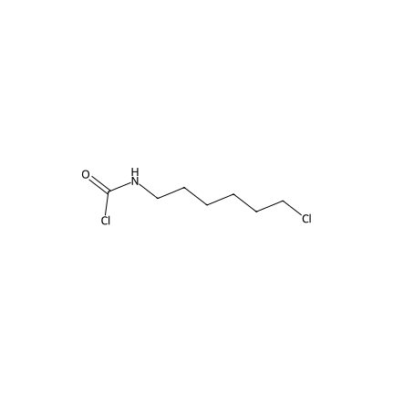 O=C(Cl)NCCCCCCCl